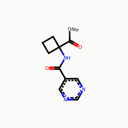 COC(=O)C1(NC(=O)c2cncnc2)CCC1